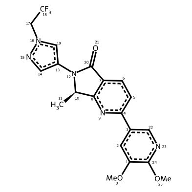 COc1cc(-c2ccc3c(n2)[C@@H](C)N(c2cnn(CC(F)(F)F)c2)C3=O)cnc1OC